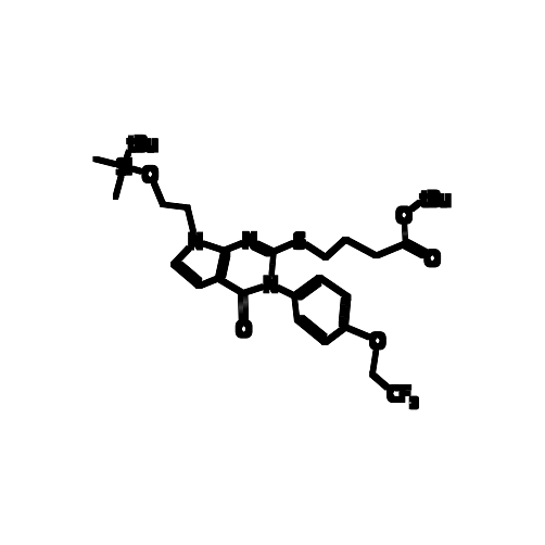 CC(C)(C)OC(=O)CCCSc1nc2c(ccn2CCO[Si](C)(C)C(C)(C)C)c(=O)n1-c1ccc(OCC(F)(F)F)cc1